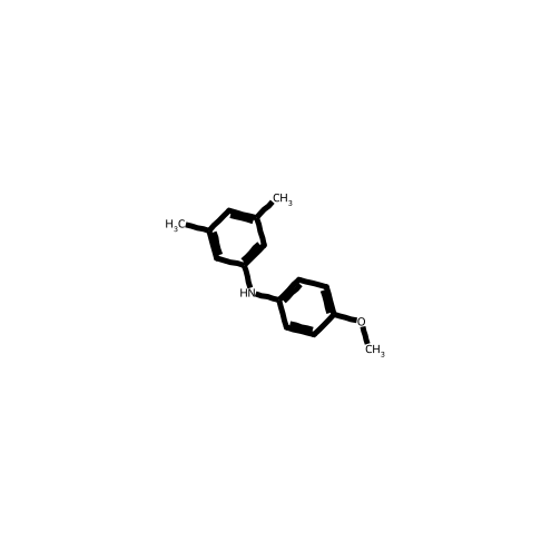 COc1ccc(Nc2cc(C)cc(C)c2)cc1